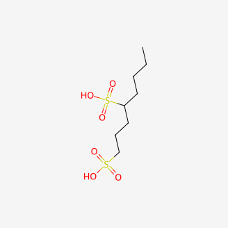 CCCCC(CCCS(=O)(=O)O)S(=O)(=O)O